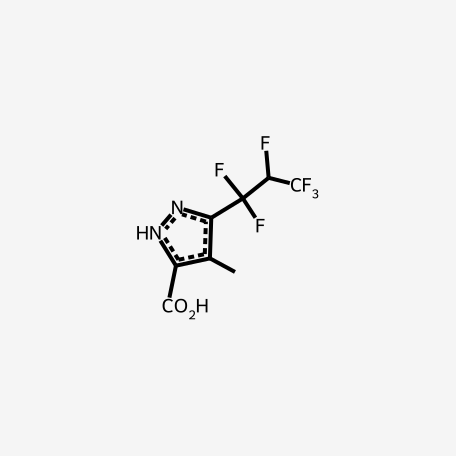 Cc1c(C(F)(F)C(F)C(F)(F)F)n[nH]c1C(=O)O